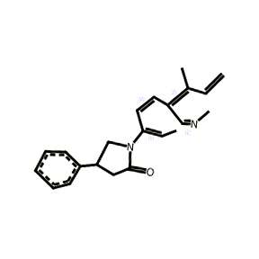 C=C/C(C)=C(/C=C\C(=C/C)N1CC(c2ccccc2)CC1=O)\C=N/C